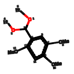 CCOC(OCC)c1cc(OC)c(OC)cc1OC